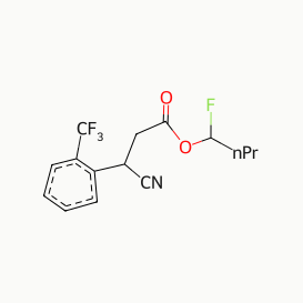 CCCC(F)OC(=O)CC(C#N)c1ccccc1C(F)(F)F